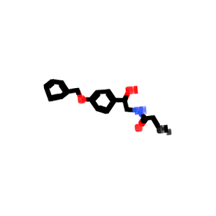 CCC(=O)NCC(O)c1ccc(OCc2ccccc2)cc1